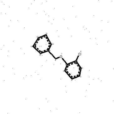 Clc1cc[c]cc1OCc1ccccc1